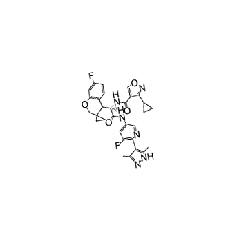 Cc1n[nH]c(C)c1-c1ncc(NC(=O)[C@@H](NC(=O)c2conc2C2CC2)C2c3ccc(F)cc3OCC23CC3)cc1F